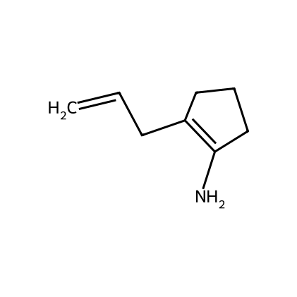 C=CCC1=C(N)CCC1